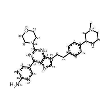 CN1CC[N]C(c2ccc(CCn3cnc4c(-c5cnc(N)nc5)nc(N5CCOCC5)nc43)cc2)C1